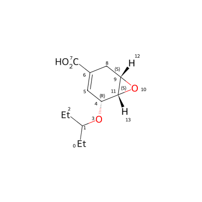 CCC(CC)O[C@@H]1C=C(C(=O)O)C[C@@H]2O[C@@H]21